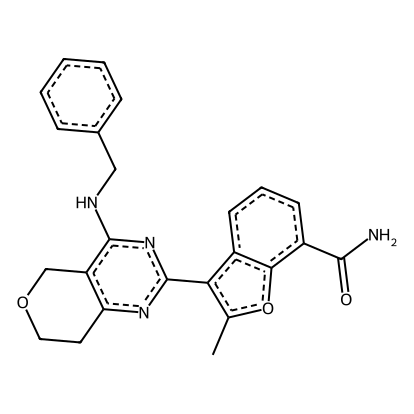 Cc1oc2c(C(N)=O)cccc2c1-c1nc2c(c(NCc3ccccc3)n1)COCC2